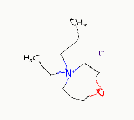 CCC[N+]1(CC)CCOCC1.[I-]